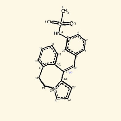 CS(=O)(=O)Nc1cccc(/C=C2\c3ccccc3CCn3cccc32)c1